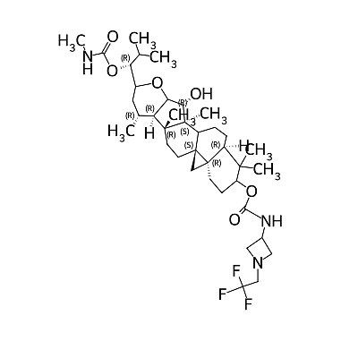 CNC(=O)O[C@H](C(C)C)C1C[C@@H](C)[C@H]2C(O1)[C@H](O)[C@@]1(C)C3CC[C@H]4C(C)(C)C(OC(=O)NC5CN(CC(F)(F)F)C5)CC[C@@]45C[C@@]35CC[C@]21C